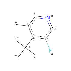 Cc1cncc(F)c1C(C)(C)C